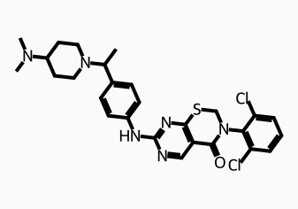 CC(c1ccc(Nc2ncc3c(n2)SCN(c2c(Cl)cccc2Cl)C3=O)cc1)N1CCC(N(C)C)CC1